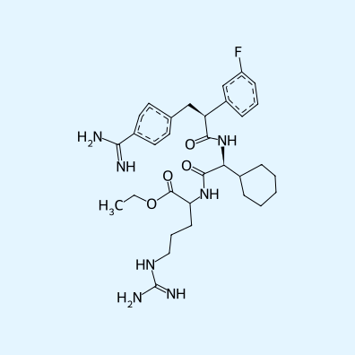 CCOC(=O)C(CCCNC(=N)N)NC(=O)[C@@H](NC(=O)[C@@H](Cc1ccc(C(=N)N)cc1)c1cccc(F)c1)C1CCCCC1